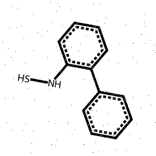 SNc1ccccc1-c1ccccc1